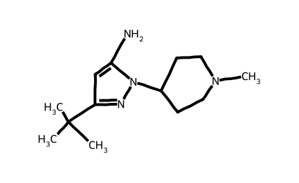 CN1CCC(n2nc(C(C)(C)C)cc2N)CC1